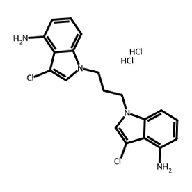 Cl.Cl.Nc1cccc2c1c(Cl)cn2CCCn1cc(Cl)c2c(N)cccc21